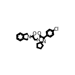 O=C(CN1C(=O)C(c2ccc(Cl)cc2)=NC12CCCC2)N1Cc2ccccc2C1